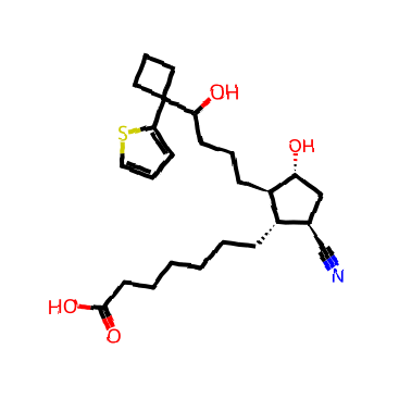 N#C[C@@H]1C[C@@H](O)[C@H](CCCC(O)C2(c3cccs3)CCC2)[C@H]1CCCCCCC(=O)O